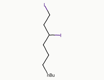 CCCCCCCC(I)CCI